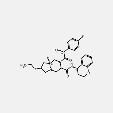 CCOC1C[C@@H]2CN(C(=O)[C@@H](N)c3ccc(F)cc3)C(C(=O)N[C@@H]3CCOc4ccccc43)CN2C1